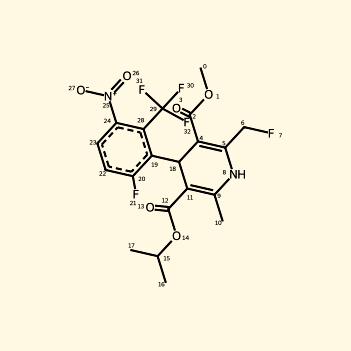 COC(=O)C1=C(CF)NC(C)=C(C(=O)OC(C)C)C1c1c(F)ccc([N+](=O)[O-])c1C(F)(F)F